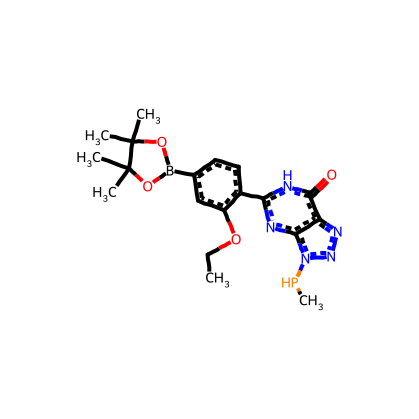 CCOc1cc(B2OC(C)(C)C(C)(C)O2)ccc1-c1nc2c(nnn2PC)c(=O)[nH]1